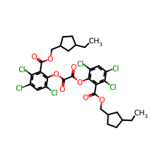 CCC1CCC(COC(=O)c2c(Cl)c(Cl)cc(Cl)c2OC(=O)C(=O)Oc2c(Cl)cc(Cl)c(Cl)c2C(=O)OCC2CCC(CC)C2)C1